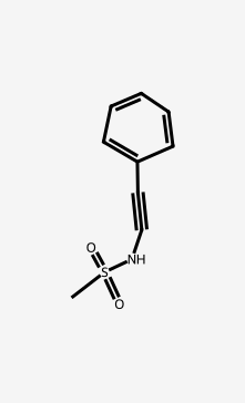 CS(=O)(=O)NC#Cc1ccccc1